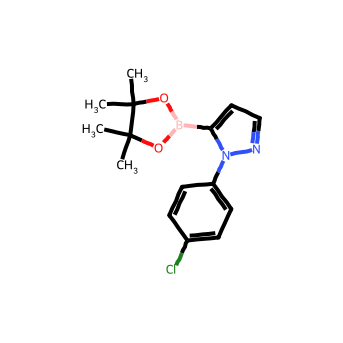 CC1(C)OB(c2ccnn2-c2ccc(Cl)cc2)OC1(C)C